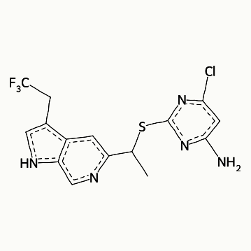 CC(Sc1nc(N)cc(Cl)n1)c1cc2c(CC(F)(F)F)c[nH]c2cn1